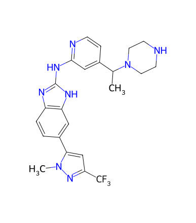 CC(c1ccnc(Nc2nc3ccc(-c4cc(C(F)(F)F)nn4C)cc3[nH]2)c1)N1CCNCC1